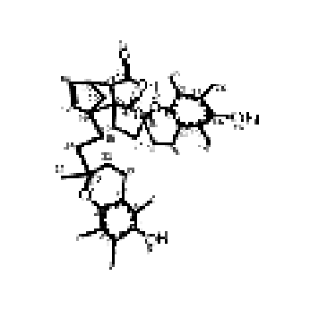 Cc1c(C)c2c(c(C)c1O)CCC(C)(CCC13C=CC(C1)C(C(=O)O)C3(CCC1(C)CCc3c(C)c(O)c(C)c(C)c3O1)C(=O)O)O2